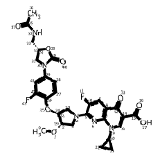 CO[C@H]1CN(c2nc3c(cc2F)c(=O)c(C(=O)O)cn3C2CC2)C[C@@H]1Oc1ccc(N2C[C@H](CNC(C)=O)OC2=O)cc1F